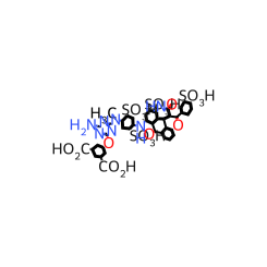 CN(c1nc(N)nc(Oc2cc(C(=O)O)cc(C(=O)O)c2)n1)c1cc(S(=O)(=O)O)c(Nc2cc(S(=O)(=O)O)c3[nH]c(=O)c(C(=O)c4cccc(S(=O)(=O)O)c4)c4c3c2C(=O)c2ccccc2-4)cc1S(=O)(=O)O